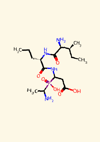 CCC[C@H](NC(=O)[C@@H](N)[C@@H](C)CC)C(=O)NC(CC(=O)O)P(=O)(O)C(C)N